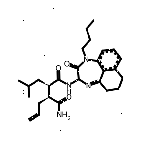 C=CC[C@H](C(N)=O)[C@@H](CC(C)C)C(=O)NC1N=C2CCCc3cccc(c32)N(CCCC)C1=O